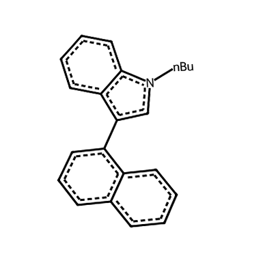 CCCCn1cc(-c2cccc3ccccc23)c2ccccc21